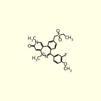 CCS(=O)(=O)Cc1ccc2c(c1)-c1cn(C)c(=O)cc1[C@H](C)N=C2c1ccc(OC)c(F)c1